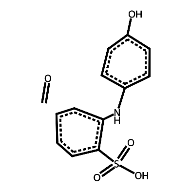 C=O.O=S(=O)(O)c1ccccc1Nc1ccc(O)cc1